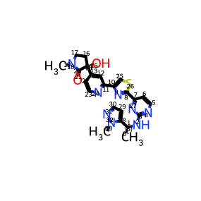 C[C@H](Nc1nccc(-c2nc(-c3cc([C@]4(O)CCN(C)C4=O)ccn3)cs2)n1)c1ccnn1C